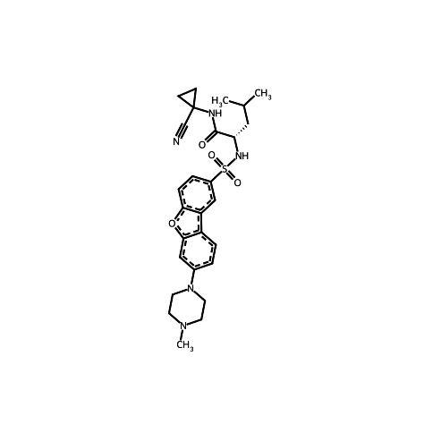 CC(C)C[C@H](NS(=O)(=O)c1ccc2oc3cc(N4CCN(C)CC4)ccc3c2c1)C(=O)NC1(C#N)CC1